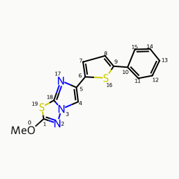 COc1nn2cc(-c3ccc(-c4ccccc4)s3)nc2s1